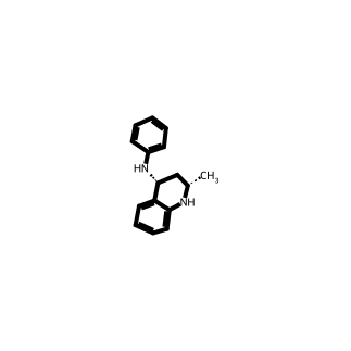 C[C@H]1C[C@@H](Nc2ccccc2)c2ccccc2N1